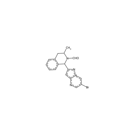 CC1Cc2ccccc2C(c2cc3ncc(Br)cn3n2)N1C=O